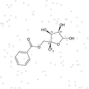 O=C(OC[C@@]1(C(F)(F)F)OC(O)[C@H](O)[C@@H]1O)c1ccccc1